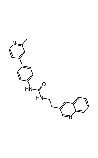 Cc1cc(-c2ccc(NC(=O)NCCc3cnc4ccccc4c3)cc2)ccn1